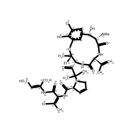 C=C(C)[C@@H]1NC(=O)[C@@H](NC)[C@@H](O)c2cc(Cl)c(O)c(c2)O[C@](C)(CC)[C@@H](C(=O)C(C)(C)N2CC=C[C@H]2C(=O)N/C(C(=O)N/C(=C/C(=O)O)C(=O)O)=C(\C)CC)NC1=O